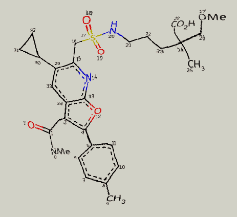 CNC(=O)c1c(-c2ccc(C)cc2)oc2nc(CS(=O)(=O)NCCCC(C)(COC)C(=O)O)c(C3CC3)cc12